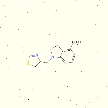 O=C(O)c1cccc2c1CCN2CC1CSC=N1